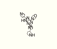 c1cc(-c2nc3c(N4CCOCC4)nc(-n4ccc(C5CCCNC5)n4)nc3[nH]2)ccn1